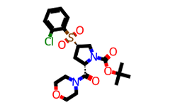 CC(C)(C)OC(=O)N1C[C@@H](S(=O)(=O)c2ccccc2Cl)C[C@H]1C(=O)N1CCOCC1